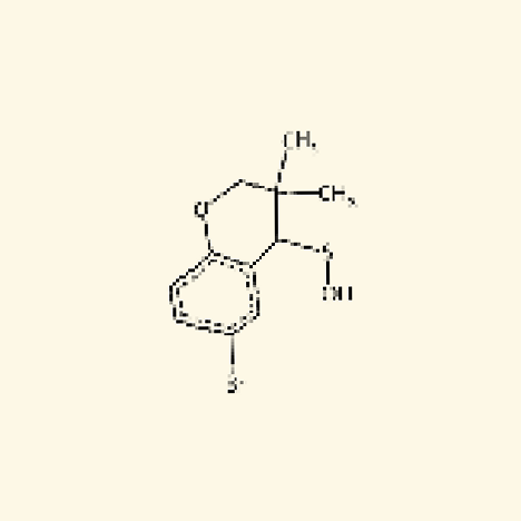 CC1(C)COc2ccc(Br)cc2C1SO